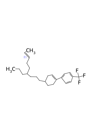 C/C=C/CCC(CCC)CCCC1CC=C(c2ccc(C(F)(F)F)cc2)CC1